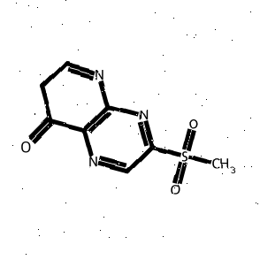 CS(=O)(=O)c1cnc2c(n1)N=CCC2=O